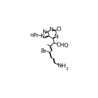 CCCn1cc2c(C(C=O)/C(C)=C/C(Br)=C\C=C\N)nc(Cl)nc2n1